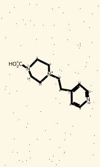 O=C(O)N1CCN(CCc2ccncc2)CC1